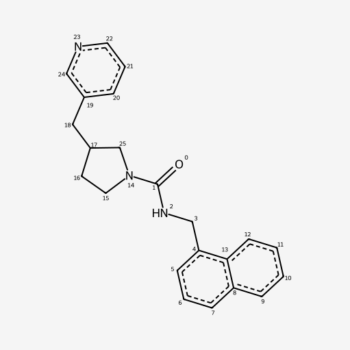 O=C(NCc1cccc2ccccc12)N1CCC(Cc2cccnc2)C1